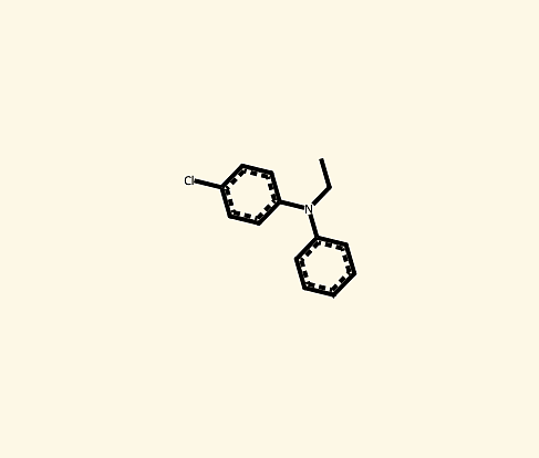 CCN(c1cc[c]cc1)c1ccc(Cl)cc1